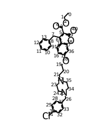 CCOC(=O)c1c(Cc2ccccc2)c2ccc(OCCCN3CCN(Cc4ccc(Cl)cc4)CC3)cc2oc1=O